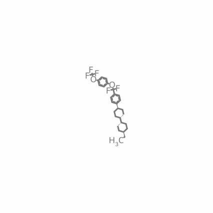 CC[C@H]1CC[C@H]([C@H]2CC[C@H](c3ccc(C(F)(F)Oc4ccc(OC(F)(F)F)cc4)cc3)CC2)CC1